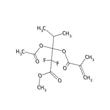 C=C(C)C(=O)OC(OC(C)=O)(C(C)C)C(F)(F)C(=O)OC